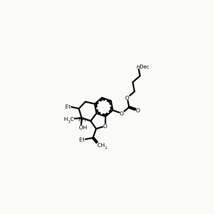 C=C(CC)C1Oc2c(OC(=O)OCCCCCCCCCCCCC)ccc3c2C1(CCC)C(C)(O)C(CC)C3